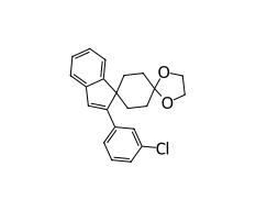 Clc1cccc(C2=Cc3ccccc3C23CCC2(CC3)OCCO2)c1